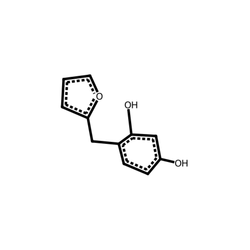 Oc1ccc(Cc2ccco2)c(O)c1